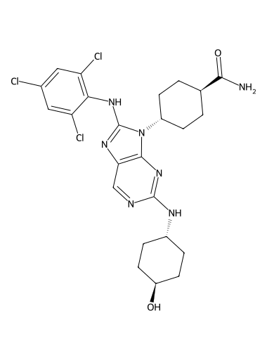 NC(=O)[C@H]1CC[C@H](n2c(Nc3c(Cl)cc(Cl)cc3Cl)nc3cnc(N[C@H]4CC[C@H](O)CC4)nc32)CC1